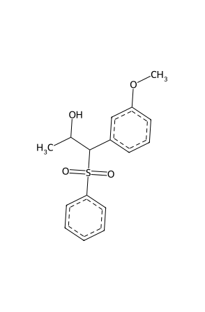 COc1cccc(C(C(C)O)S(=O)(=O)c2ccccc2)c1